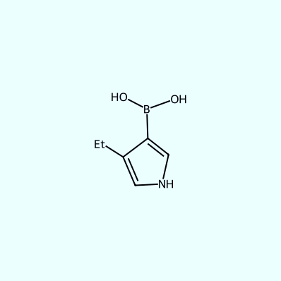 CCc1c[nH]cc1B(O)O